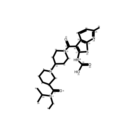 CCN(C(=O)C1CCCN(C2CCN(C(=O)c3c(NC(=O)O)sc4nc(C)ccc34)CC2)C1)C(C)C